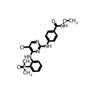 CONC(=O)c1ccc(Nc2ncc(Cl)c(Nc3ccccc3P(C)(C)=O)n2)cc1